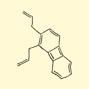 C=CCc1ccc2c(c1CC=C)=c1ccccc1=2